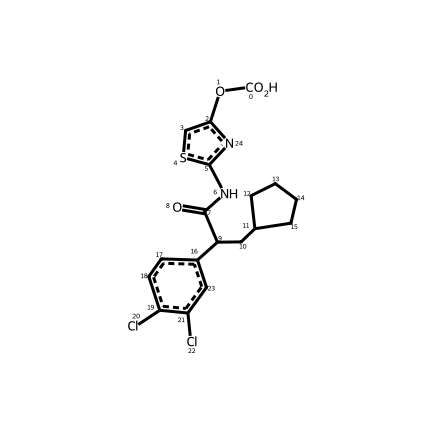 O=C(O)Oc1csc(NC(=O)C(CC2CCCC2)c2ccc(Cl)c(Cl)c2)n1